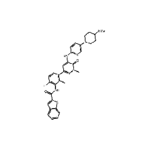 CNC1CCN(c2ccc(Nc3cc(-c4ccc(F)c(NC(=O)c5cc6ccccc6s5)c4C)nn(C)c3=O)nc2)CC1